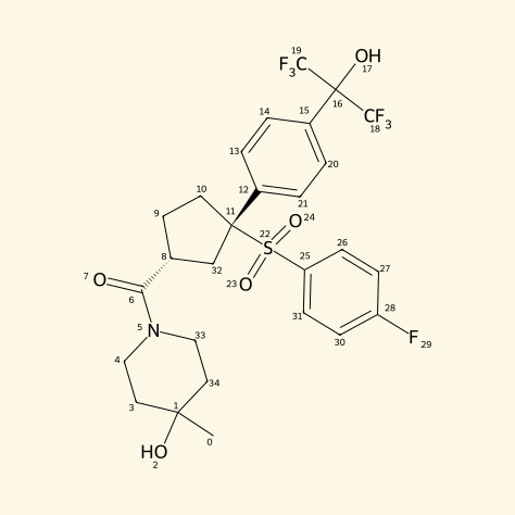 CC1(O)CCN(C(=O)[C@@H]2CC[C@](c3ccc(C(O)(C(F)(F)F)C(F)(F)F)cc3)(S(=O)(=O)c3ccc(F)cc3)C2)CC1